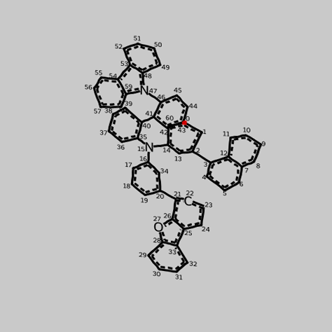 c1cc(-c2cccc3ccccc23)cc(N(c2cccc(-c3cccc4c3oc3ccccc34)c2)c2ccccc2-c2ccccc2-n2c3ccccc3c3ccccc32)c1